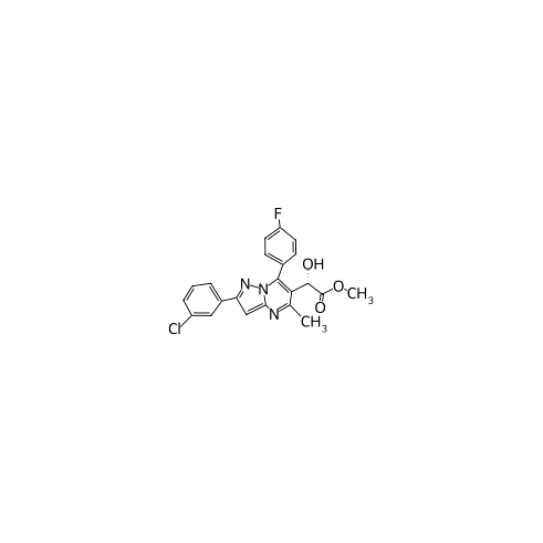 COC(=O)[C@@H](O)c1c(C)nc2cc(-c3cccc(Cl)c3)nn2c1-c1ccc(F)cc1